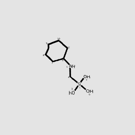 O[Si](O)(O)CNC1CCCCC1